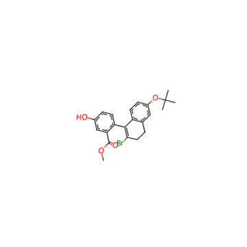 COC(=O)c1cc(O)ccc1C1=C(Br)CCc2cc(OC(C)(C)C)ccc21